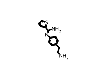 NCCc1ccc(/N=C(\N)c2cccs2)cc1